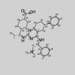 CC[C@@H](Nc1nc2c(c(N[C@@H](CN(C)C)c3ccccc3)n1)C[C@H](c1ccccc1)CC2)C1CCC(C(=O)O)CC1